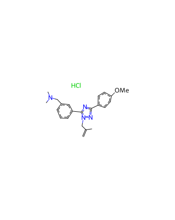 C=C(C)Cn1nc(-c2ccc(OC)cc2)nc1-c1cccc(CN(C)C)c1.Cl